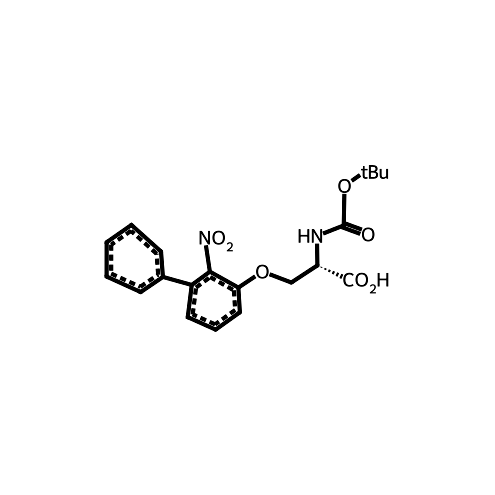 CC(C)(C)OC(=O)N[C@@H](COc1cccc(-c2ccccc2)c1[N+](=O)[O-])C(=O)O